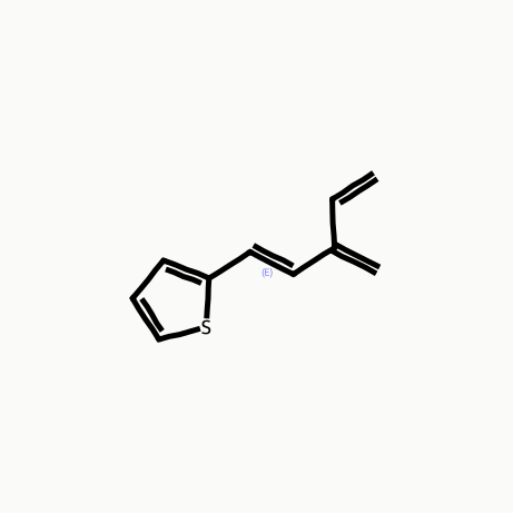 C=CC(=C)/C=C/c1cccs1